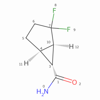 NC(=O)[C@@H]1[C@H]2CCC(F)(F)[C@H]21